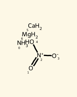 N.O=[N+]([O-])O.[CaH2].[MgH2]